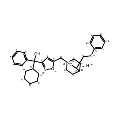 OC(c1ccccc1)(c1cc(C[N+]23CCC(CC2)[C@H](CSc2ccccc2)C3)on1)C1CCCCC1